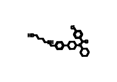 O=C(c1ccc(Cl)cc1)N(C1CCCCC1)C1CCC(c2ccc(CNCCCCO)cc2)CC1